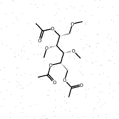 COC[C@@H](OC(C)=O)[C@@H](OC)[C@H](OC)[C@H](COC(C)=O)OC(C)=O